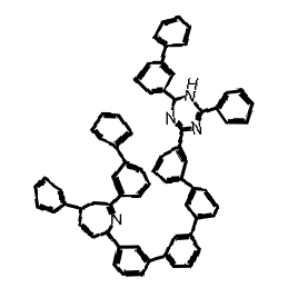 C1=CC(c2cccc(-c3cccc(-c4cccc(-c5cccc(C6=NC(c7cccc(-c8ccccc8)c7)NC(c7ccccc7)=N6)c5)c4)c3)c2)N=C(c2cccc(-c3ccccc3)c2)CC1c1ccccc1